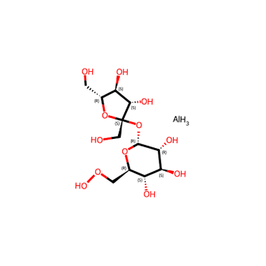 OC[C@H]1O[C@@](CO)(O[C@H]2O[C@H](COO)[C@@H](O)[C@H](O)[C@H]2O)[C@@H](O)[C@@H]1O.[AlH3]